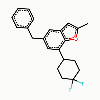 Cc1cc2cc(Cc3ccccc3)cc(C3CCC(F)(F)CC3)c2o1